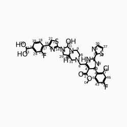 COC(=O)C1=C(CN2CCN3C(O)N(c4nc(-c5ccc(C(O)O)cc5F)cs4)C[C@@H]3C2)NC(c2nccs2)=N[C@H]1c1ccc(F)cc1Cl